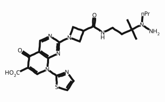 CCCN(N)C(C)(C)CCNC(=O)C1CN(c2ncc3c(=O)c(C(=O)O)cn(-c4nccs4)c3n2)C1